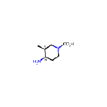 C[C@H]1CN(C(=O)O)CC[C@H]1N